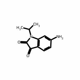 CC(C)N1C(=O)C(=O)c2ccc(N)cc21